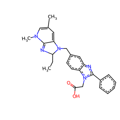 CCC1N=C2C(=CC(C)=CN2C)N1Cc1ccc2c(c1)nc(-c1ccccc1)n2CC(=O)O